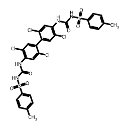 Cc1ccc(S(=O)(=O)NC(=O)Nc2cc(Cl)c(-c3cc(Cl)c(NC(=O)NS(=O)(=O)c4ccc(C)cc4)cc3Cl)cc2Cl)cc1